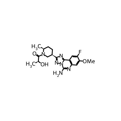 COc1cc2nc(N)n3nc([C@@H]4CC[C@H](C)N(C(=O)[C@H](C)O)C4)nc3c2cc1F